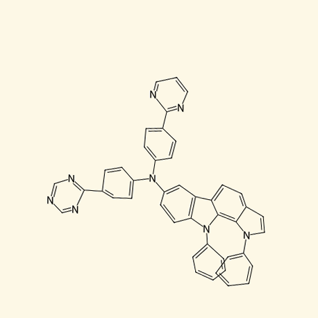 c1ccc(-n2ccc3ccc4c5cc(N(c6ccc(-c7ncccn7)cc6)c6ccc(-c7ncncn7)cc6)ccc5n(-c5ccccc5)c4c32)cc1